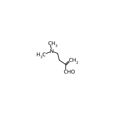 C=C(C=O)CCN(C)C